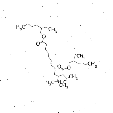 CCCCC(CC)COC(=O)CCCCCCCCC(C(C)C)C(C(=O)OCC(CC)CCCC)C(C)C